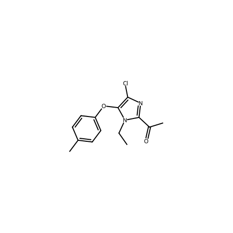 CCn1c(C(C)=O)nc(Cl)c1Oc1ccc(C)cc1